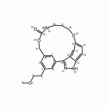 COCCc1cc2cc(c1)-c1n[nH]c3ccc(cc13)OCCCNC(=O)OC2